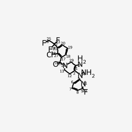 NC1=C(N(N)c2cccc(F)n2)CCN(C(=O)c2cccc(C(F)(F)CF)c2Cl)C1